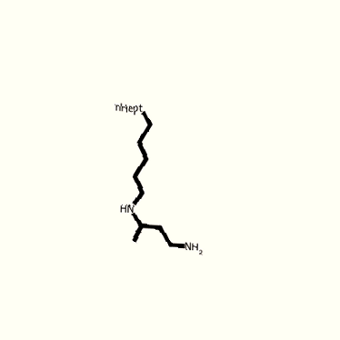 CCCCCCCCCCCCNC(C)CCN